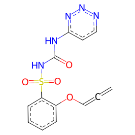 C=C=COc1ccccc1S(=O)(=O)NC(=O)Nc1ccnnn1